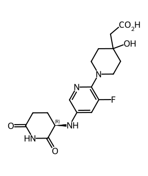 O=C(O)CC1(O)CCN(c2ncc(N[C@@H]3CCC(=O)NC3=O)cc2F)CC1